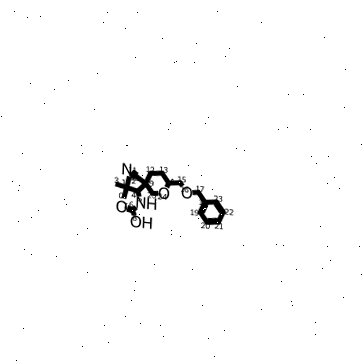 CC(C)(C)C(NC(=O)O)C1(C#N)CCC(COCc2ccccc2)OC1